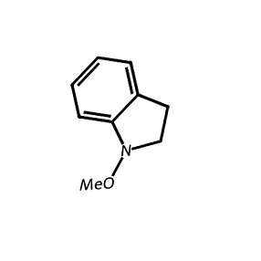 CON1CCc2ccccc21